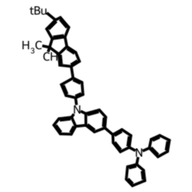 CC(C)(C)c1ccc2c(c1)C(C)(C)c1cc(-c3ccc(-n4c5ccccc5c5cc(-c6ccc(N(c7ccccc7)c7ccccc7)cc6)ccc54)cc3)ccc1-2